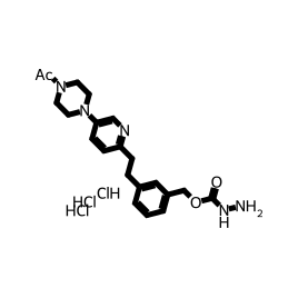 CC(=O)N1CCN(c2ccc(CCc3cccc(COC(=O)NN)c3)nc2)CC1.Cl.Cl.Cl